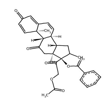 CC(=O)OCC(=O)[C@@]1(OC(=O)c2ccccc2)C(C)C[C@H]2[C@@H]3C=CC4=CC(=O)C=C[C@]4(C)[C@H]3C(=O)C[C@@]21C